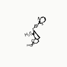 Cc1c(SC2CN(C3=NCCS3)C2)ccc2c1OB(O)CC2